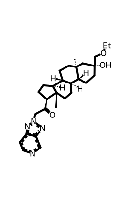 CCOC[C@@]1(O)CC[C@@H]2[C@H]3CC[C@]4(C)[C@@H](C(=O)Cn5nc6ccncc6n5)CC[C@H]4[C@@H]3CC[C@@]2(C)C1